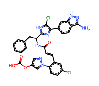 Nc1n[nH]c2cc(-c3nc([C@H](Cc4ccccc4)NC(=O)/C=C/c4cc(Cl)ccc4-n4cc(OC(=O)O)cn4)[nH]c3Cl)ccc12